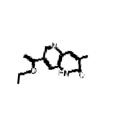 C=C(OCC)c1cnc2cc(C)c(=O)[nH]c2c1